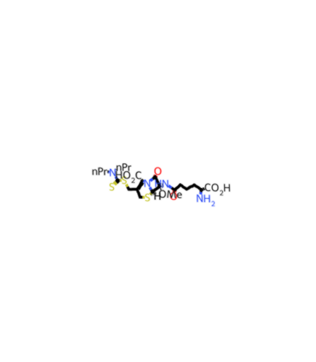 CCCN(CCC)C(=S)SCC1=C(C(=O)O)N2C(=O)[C@](NC(=O)CCCC(N)C(=O)O)(OC)[C@@H]2SC1